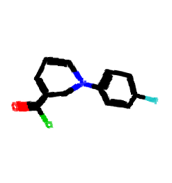 O=C(Cl)C1=CC=CN(c2ccc(F)cc2)C1